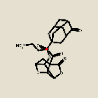 O=C1C2CC3CC1CC(C(=O)OC1C4CC5(C(=O)OCCS(=O)(=O)O)C(=O)OC1C5O4)(C3)C2